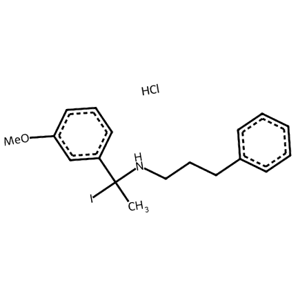 COc1cccc(C(C)(I)NCCCc2ccccc2)c1.Cl